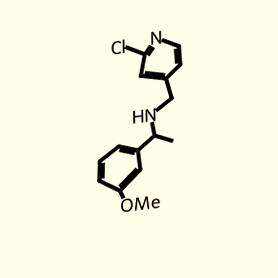 COc1cccc(C(C)NCc2ccnc(Cl)c2)c1